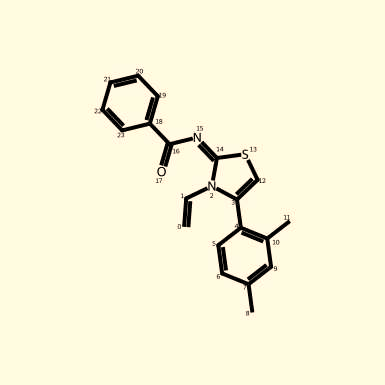 C=Cn1c(-c2ccc(C)cc2C)cs/c1=N/C(=O)c1ccccc1